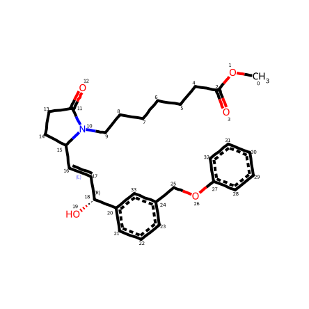 COC(=O)CCCCCCN1C(=O)CCC1/C=C/[C@@H](O)c1cccc(COc2ccccc2)c1